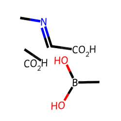 CB(O)O.CC(=O)O.CN=CC(=O)O